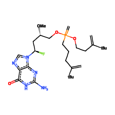 C=C(CCCP(=C)(OCCC(=C)C(C)(C)C)OC[C@H](C[C@@H](F)n1cnc2c(=O)[nH]c(N)nc21)OC)C(C)(C)C